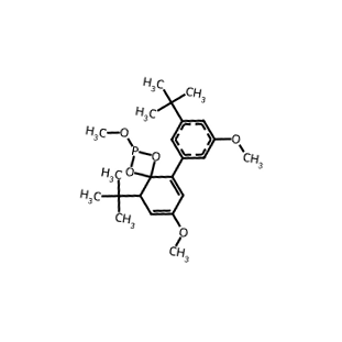 COC1=CC(C(C)(C)C)C2(OP(OC)O2)C(c2cc(OC)cc(C(C)(C)C)c2)=C1